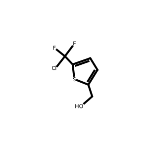 OCc1ccc(C(F)(F)Cl)s1